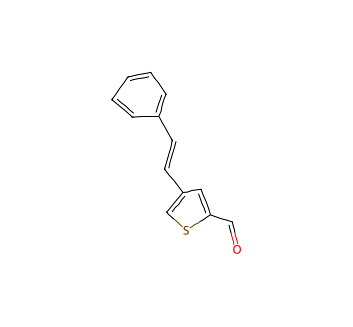 O=Cc1cc(C=Cc2ccccc2)cs1